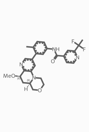 CO[C@@H]1C[C@@H]2COCCN2c2cc(-c3cc(NC(=O)c4ccnc(C(C)(F)F)c4)ccc3C)cnc21